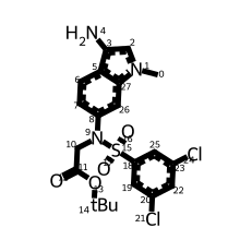 Cn1cc(N)c2ccc(N(CC(=O)OC(C)(C)C)S(=O)(=O)c3cc(Cl)cc(Cl)c3)cc21